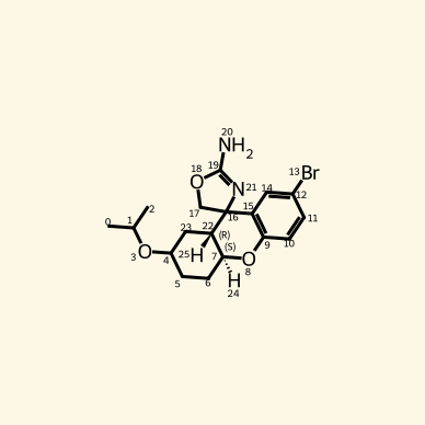 CC(C)OC1CC[C@@H]2Oc3ccc(Br)cc3C3(COC(N)=N3)[C@H]2C1